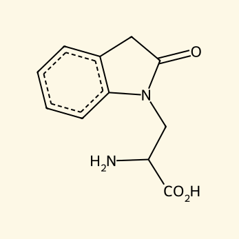 NC(CN1C(=O)Cc2ccccc21)C(=O)O